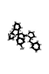 O=C(CC1(c2ccc(Br)cc2)c2ccccc2-c2nccn21)N1CCCC1Cc1ccccc1